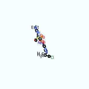 CCN(CC)C1CCN(CC[C@H](CSc2ccccc2)Nc2ccc(S(=O)(=O)NC(=O)c3ccc(N4CCN(CC5=C(c6ccc(Cl)cc6)CCC(C)(C)C5)CC4)cc3)cc2[SH](=O)=O)CC1